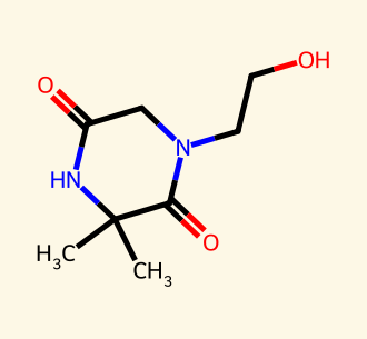 CC1(C)NC(=O)CN(CCO)C1=O